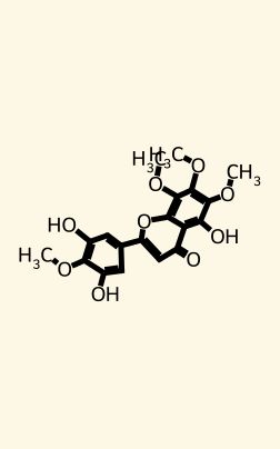 COc1c(O)cc(-c2cc(=O)c3c(O)c(OC)c(OC)c(OC)c3o2)cc1O